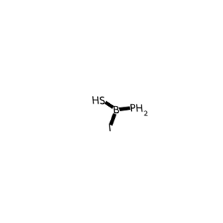 PB(S)I